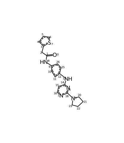 O=C(Cc1cccs1)Nc1ccc(Nc2ccnc(N3CCCC3)n2)cc1